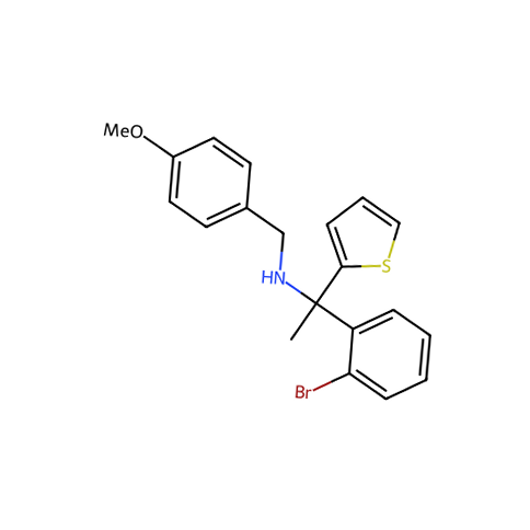 COc1ccc(CNC(C)(c2cccs2)c2ccccc2Br)cc1